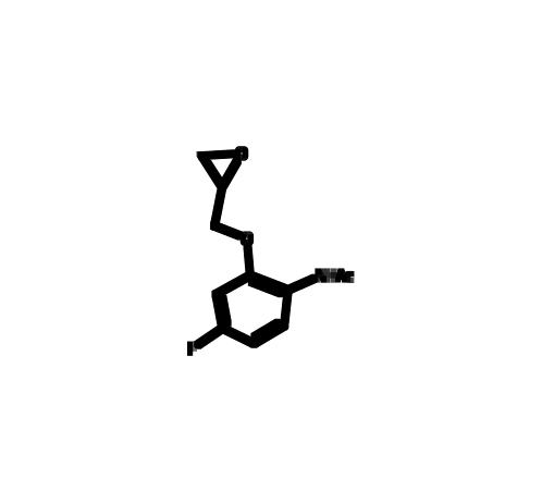 CC(=O)Nc1ccc(F)cc1OCC1CO1